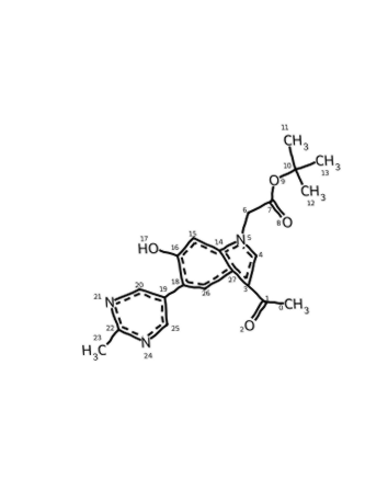 CC(=O)c1cn(CC(=O)OC(C)(C)C)c2cc(O)c(-c3cnc(C)nc3)cc12